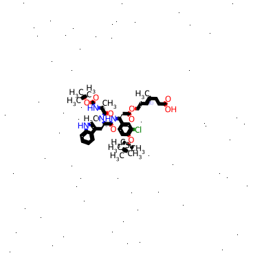 C/C(=C\CCOC(=O)C[C@@H](NC(=O)[C@@H](Cc1c[nH]c2ccccc12)N(C)C(=O)[C@H](C)NC(=O)OC(C)(C)C)c1ccc(O[Si](C)(C)C(C)(C)C)c(Cl)c1)CCC(=O)O